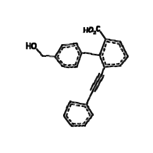 O=C(O)c1cccc(C#Cc2ccccc2)c1-c1ccc(CO)cc1